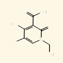 CCn1cc(Br)c(O)c(C(=O)O)c1=O